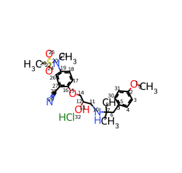 COc1ccc(CC(C)(C)NC[C@@H](O)COc2ccc(N(C)S(C)(=O)=O)cc2C#N)cc1.Cl